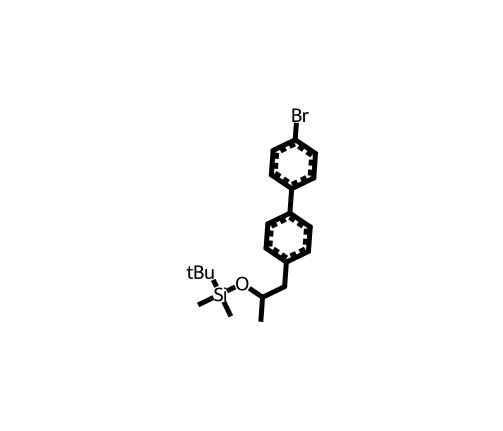 CC(Cc1ccc(-c2ccc(Br)cc2)cc1)O[Si](C)(C)C(C)(C)C